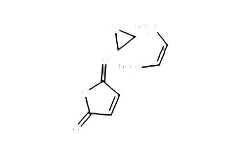 C1CO1.O=C(O)/C=C\C(=O)O.O=C1C=CC(=O)O1